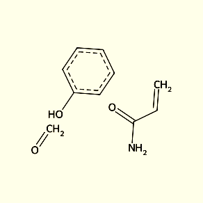 C=CC(N)=O.C=O.Oc1ccccc1